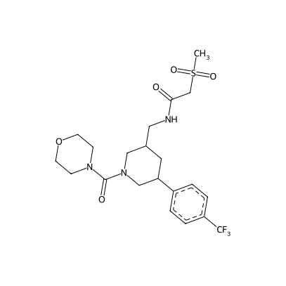 CS(=O)(=O)CC(=O)NCC1CC(c2ccc(C(F)(F)F)cc2)CN(C(=O)N2CCOCC2)C1